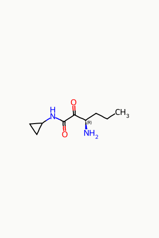 CCC[C@@H](N)C(=O)C(=O)NC1CC1